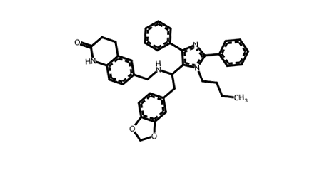 CCCCn1c(-c2ccccc2)nc(-c2ccccc2)c1C(Cc1ccc2c(c1)OCO2)NCc1ccc2c(c1)CCC(=O)N2